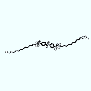 CCCCCCCCCCCC(=O)OS(=O)(=O)c1ccc(S(=O)(=O)c2ccc(S(=O)(=O)OC(=O)CCCCCCCCCCC)cc2)cc1